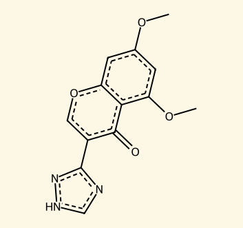 COc1cc(OC)c2c(=O)c(-c3nc[nH]n3)coc2c1